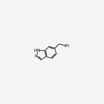 CC(C)Cc1ccc2cn[nH]c2c1